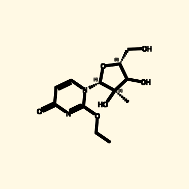 CCOc1nc(=O)ccn1[C@@H]1O[C@H](CO)C(O)[C@@]1(C)O